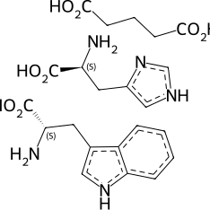 N[C@@H](Cc1c[nH]c2ccccc12)C(=O)O.N[C@@H](Cc1c[nH]cn1)C(=O)O.O=C(O)CCCC(=O)O